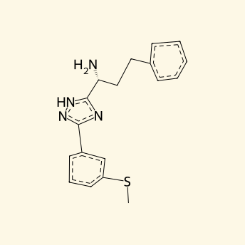 CSc1cccc(-c2n[nH]c([C@H](N)CCc3ccccc3)n2)c1